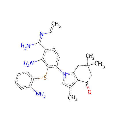 C=C/N=C(/N)c1ccc(-n2cc(C)c3c2CC(C)(C)CC3=O)c(Sc2ccccc2N)c1N